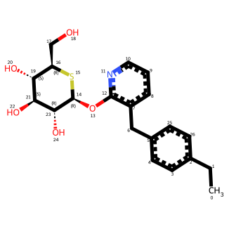 CCc1ccc(Cc2cccnc2O[C@@H]2S[C@H](CO)[C@@H](O)[C@H](O)[C@H]2O)cc1